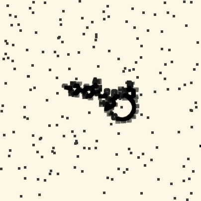 CC(=O)c1nn(CC(=O)N2[C@H]3C[C@@]4(COCCCCCCCc5ccc(Br)nc5NC3=O)C[C@@H]24)c2cnc(-c3cnc(C)nc3)cc12